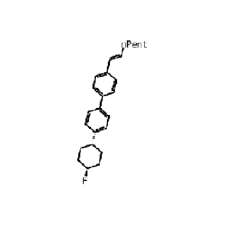 CCCCCC=Cc1ccc(-c2ccc([C@H]3CC[C@H](F)CC3)cc2)cc1